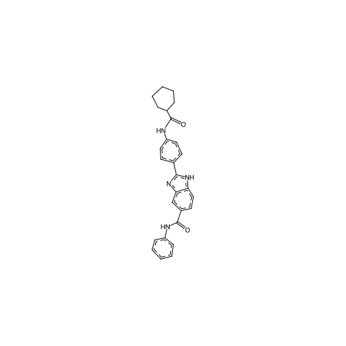 O=C(Nc1ccccc1)c1ccc2[nH]c(-c3ccc(NC(=O)C4CCCCC4)cc3)nc2c1